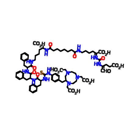 O=C[C@H](CCC(=O)O)NC(=O)N[C@@H](CCCCNC(=O)CCCCCCC(=O)NC(CCCCNC(=O)C(Cc1ccccc1)NC(=O)C(Cc1ccccc1)NC(=O)C(Cc1ccccc1)NC(=S)Nc1ccc(CC2CN(CC(=O)O)CCN(CC(=O)O)CCN2CC(=O)O)cc1)C(=O)O)C(=O)O